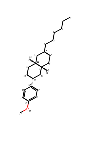 CCCCCCC1CC[C@@H]2C[C@H](c3ccc(OC)cc3)CC[C@@H]2C1